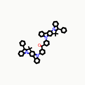 CC1(C)c2cc3c(cc2-n2c1c(-c1ccccc1)c1ccccc12)c1ccccc1n3-c1cccc(C(=O)c2cccc(-n3c4ccccc4c4cc5c(cc43)C(C)(C)c3c(-c4ccccc4)c4ccccc4n3-5)c2)c1